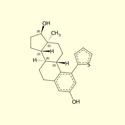 C[C@]12CC[C@@H]3c4c(cc(O)cc4-c4cccs4)CC[C@H]3[C@@H]1CC[C@H]2O